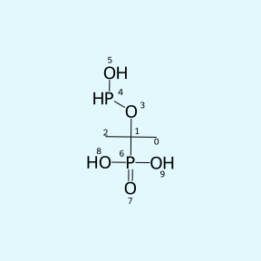 CC(C)(OPO)P(=O)(O)O